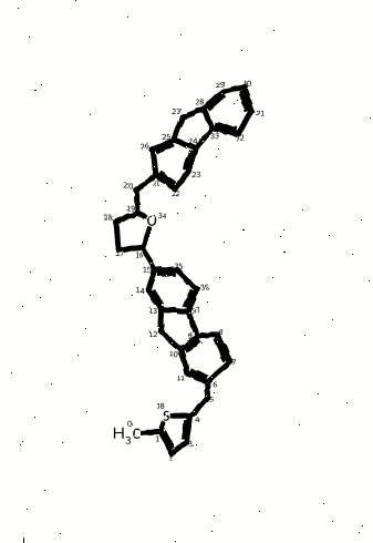 Cc1ccc(Cc2ccc3c(c2)Cc2cc(C4CCC(Cc5ccc6c(c5)Cc5ccccc5-6)O4)ccc2-3)s1